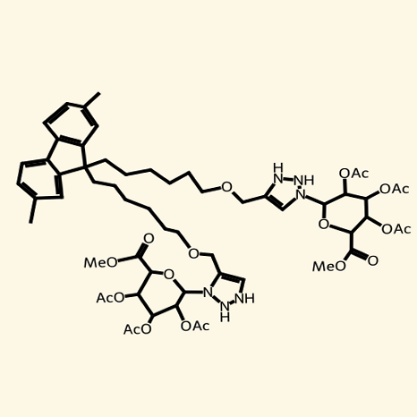 COC(=O)C1OC(N2C=C(COCCCCCCC3(CCCCCCOCC4=CNNN4C4OC(C(=O)OC)C(OC(C)=O)C(OC(C)=O)C4OC(C)=O)c4cc(C)ccc4-c4ccc(C)cc43)NN2)C(OC(C)=O)C(OC(C)=O)C1OC(C)=O